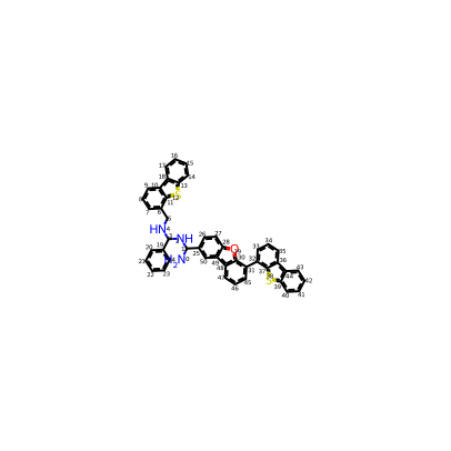 NC(NC(NCc1cccc2c1sc1ccccc12)c1ccccc1)c1ccc2oc3c(-c4cccc5c4sc4ccccc45)cccc3c2c1